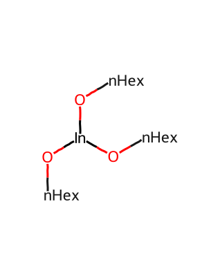 CCCCCC[O][In]([O]CCCCCC)[O]CCCCCC